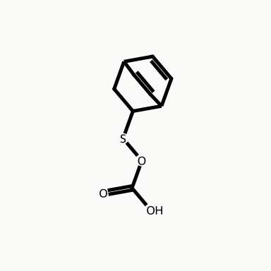 O=C(O)OSC1CC2C=CC1C=C2